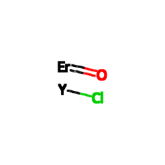 [Cl][Y].[O]=[Er]